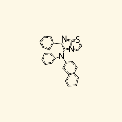 c1ccc(-c2nc3sccn3c2N(c2ccccc2)c2ccc3ccccc3c2)cc1